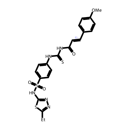 CCc1nnc(NS(=O)(=O)c2ccc(NC(=S)NC(=O)/C=C/c3ccc(OC)cc3)cc2)s1